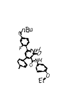 CCCCOc1ccc(-c2cc(-c3ccc(C)cc3)c(C(=O)Nc3ccc(OCC)cc3)c(=O)[nH]2)c(F)c1